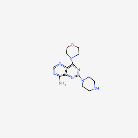 Nc1ncnc2c(N3CCOCC3)nc(N3CCNCC3)nc12